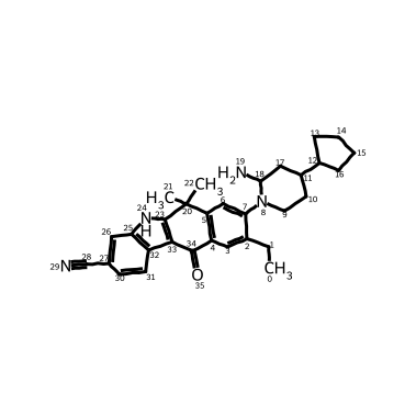 CCc1cc2c(cc1N1CCC(C3CCCC3)CC1N)C(C)(C)c1[nH]c3cc(C#N)ccc3c1C2=O